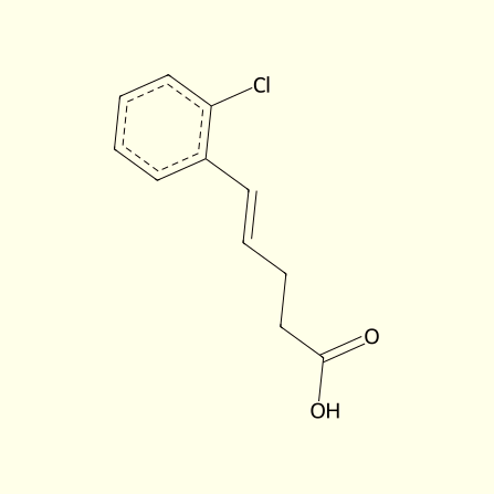 O=C(O)CC/C=C/c1ccccc1Cl